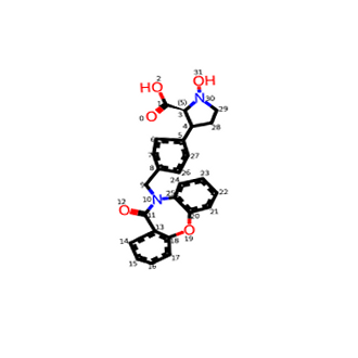 O=C(O)[C@@H]1C(c2ccc(CN3C(=O)c4ccccc4Oc4ccccc43)cc2)CCN1O